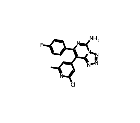 Cc1cc(-c2c(-c3ccc(F)cc3)nc(N)n3nnnc23)cc(Cl)n1